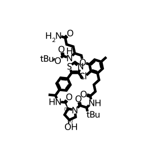 Cc1cc(CCCC(=O)NC(C(=O)N2C[C@H](O)C[C@H]2C(=O)NC(C)c2ccc(-c3scnc3C)cc2)C(C)(C)C)c(Cl)c(OCC(CCC(N)=O)NC(=O)OC(C)(C)C)c1